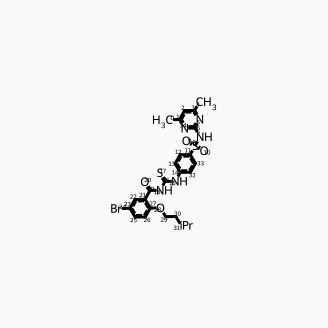 Cc1cc(C)nc(NS(=O)(=O)c2ccc(NC(=S)NC(=O)c3cc(Br)ccc3OCCC(C)C)cc2)n1